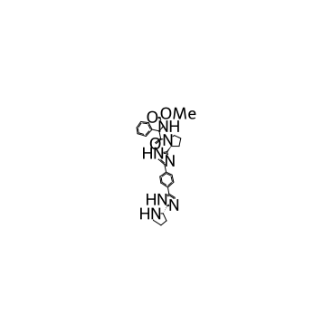 COC(=O)N[C@@H](C(=O)N1CCC[C@H]1c1nc(-c2ccc(-c3cnc([C@@H]4CCCN4)[nH]3)cc2)c[nH]1)c1ccccc1